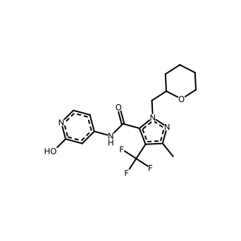 Cc1nn(CC2CCCCO2)c(C(=O)Nc2ccnc(O)c2)c1C(F)(F)F